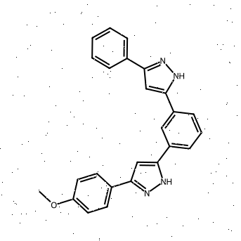 COc1ccc(-c2cc(-c3cccc(-c4cc(-c5ccccc5)n[nH]4)c3)[nH]n2)cc1